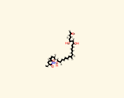 CC[C@H]1C[C@H](C)[C@@]2(NC1=O)O[C@@H](C[C@H](O)[C@@H](C)CC/C=C/C=C(\C)[C@@H](C)C/C=C/C=C/[C@H](O)[C@H](C)[C@@H](O)[C@H](C)CCC(C)=O)[C@H](C)C=C2C